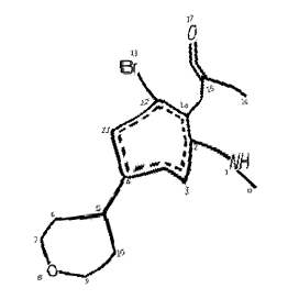 CNc1cc(C2CCOCC2)cc(Br)c1C(C)=O